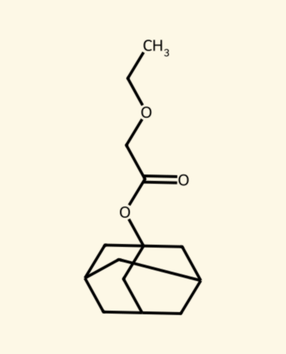 CCOCC(=O)OC12CC3CC(CC(C3)C1)C2